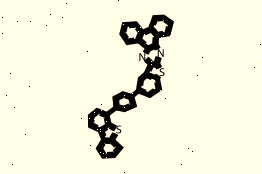 c1ccc2c(c1)sc1c(-c3ccc(-c4ccc5sc6nc7c8ccccc8c8ccccc8c7nc6c5c4)cc3)cccc12